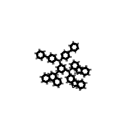 c1ccc(-c2ccc(N(c3ccc(-c4ccccc4)cc3)c3cc(-c4cc5ccccc5c5ccccc45)cc(N(c4ccc5oc6ccccc6c5c4)c4cccc5c4sc4ccccc45)c3)cc2)cc1